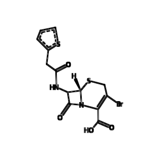 O=C(Cc1cccs1)NC1C(=O)N2C(C(=O)O)=C(Br)CS[C@@H]12